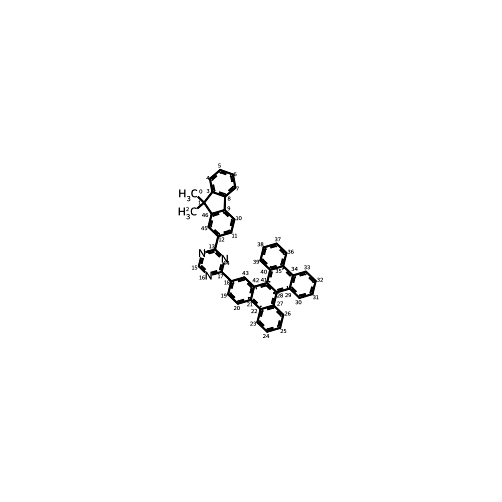 CC1(C)c2ccccc2-c2ccc(-c3ncnc(-c4ccc5c6ccccc6c6c7ccccc7c7ccccc7c6c5c4)n3)cc21